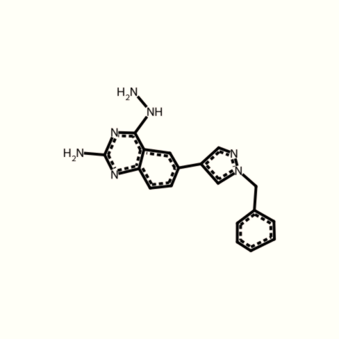 NNc1nc(N)nc2ccc(-c3cnn(Cc4ccccc4)c3)cc12